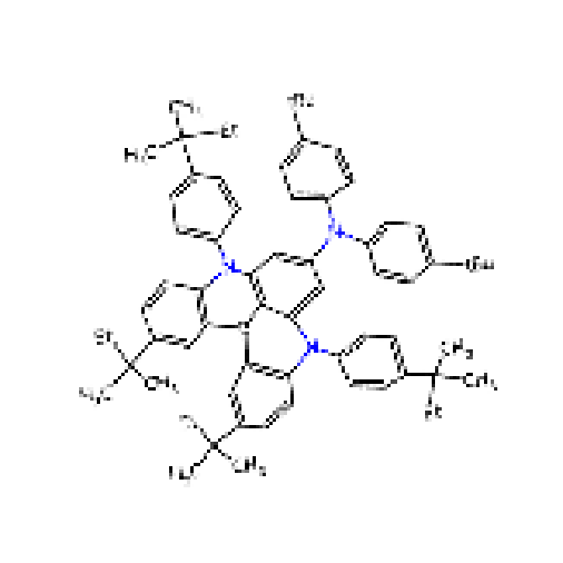 CCC(C)(C)c1ccc(N2c3ccc(C(C)(C)CC)cc3B3c4cc(C(C)(C)CC)ccc4N(c4ccc(C(C)(C)CC)cc4)c4cc(N(c5ccc(C(C)(C)C)cc5)c5ccc(C(C)(C)C)cc5)cc2c43)cc1